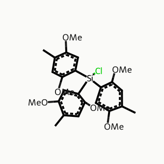 COc1cc([Si](Cl)(c2cc(OC)c(C)cc2OC)c2cc(OC)c(C)cc2OC)c(OC)cc1C